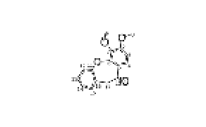 COc1ccc2c(c1OC)Oc1ccccc1CC2=O